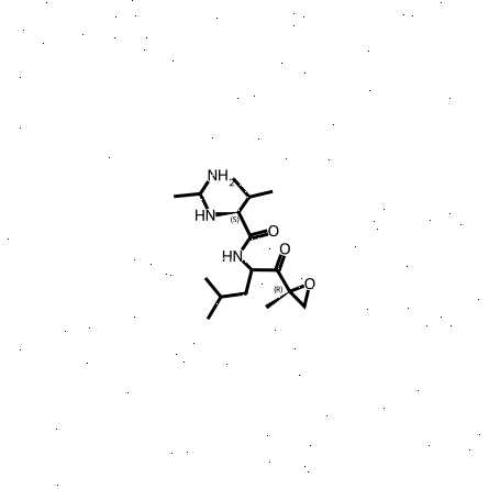 CC(C)CC(NC(=O)[C@@H](NC(C)N)C(C)C)C(=O)[C@@]1(C)CO1